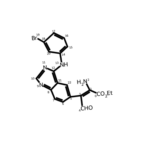 CCOC(=O)C(N)=C(C=O)c1ccc2ncnc(Nc3cccc(Br)c3)c2c1